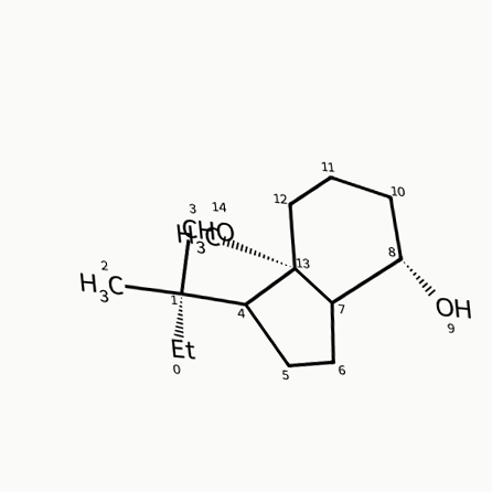 CC[C@](C)(C=O)C1CCC2[C@@H](O)CCC[C@@]21C